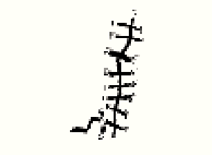 CCCS(=O)(=O)C(F)(F)C(F)(F)C(F)(F)C(F)(F)C(F)(F)C(F)(F)C(F)(F)C(F)(F)F